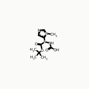 Cn1cncc1N(NC(=O)O)C(=O)OC(C)(C)C